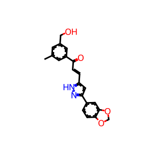 Cc1cc(CO)cc(C(=O)/C=C/c2cc(-c3ccc4c(c3)OCO4)n[nH]2)c1